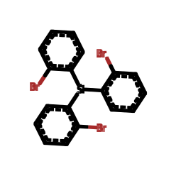 Brc1ccccc1[Si](c1ccccc1Br)c1ccccc1Br